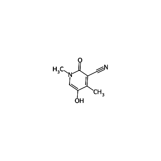 Cc1c(O)cn(C)c(=O)c1C#N